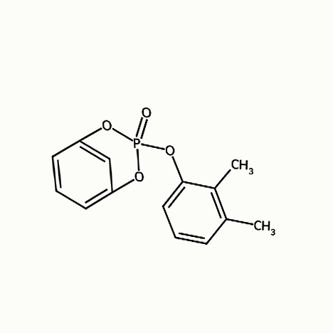 Cc1cccc(OP2(=O)Oc3cccc(c3)O2)c1C